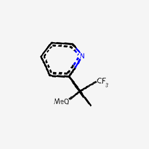 COC(C)(c1ccccn1)C(F)(F)F